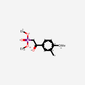 CCOP(=O)(CC(=O)c1ccc(OC)c(C)c1)OCC